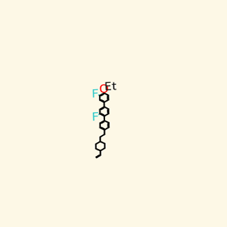 C=CC1CCC(CCc2ccc(-c3ccc(-c4ccc(OCC)c(F)c4)cc3F)cc2)CC1